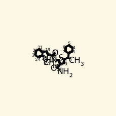 CC(c1ccccc1)c1cc(C(N)=O)c(NC(=O)c2cc3ccccc3n2C)s1